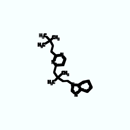 CC(C)(C)CCc1nccc(CC(C)(C)CCn2cnc3ccccc32)n1